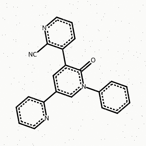 N#Cc1ncccc1-c1cc(-c2ccccn2)cn(-c2ccccc2)c1=O